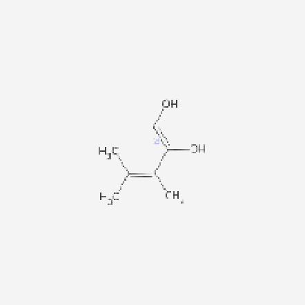 CC(C)=C(C)/C(O)=C/O